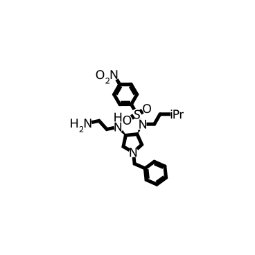 CC(C)CCN([C@@H]1CN(Cc2ccccc2)C[C@H]1NCCN)S(=O)(=O)c1ccc([N+](=O)[O-])cc1